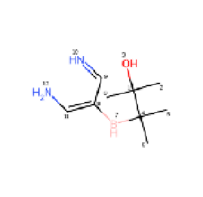 CC(C)(O)C(C)(C)B/C(C=N)=C/N